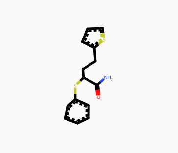 NC(=O)C(CCc1cccs1)Sc1cc[c]cc1